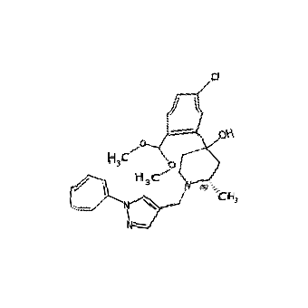 COC(OC)c1ccc(Cl)cc1C1(O)CCN(Cc2cnn(-c3ccccc3)c2)[C@@H](C)C1